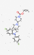 CCOC(=O)N1CCC(N2CCC3(CC2)CN(c2ccc(F)cc2)c2ccc(F)cc23)CC1